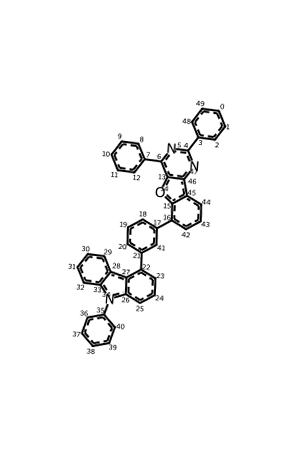 c1ccc(-c2nc(-c3ccccc3)c3oc4c(-c5cccc(-c6cccc7c6c6ccccc6n7-c6ccccc6)c5)cccc4c3n2)cc1